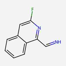 N=Cc1nc(F)cc2ccccc12